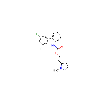 CN1CCCC1CCOC(=O)Nc1ccccc1-c1cc(F)cc(F)c1